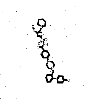 O=Nc1cc(S(=O)(=O)NC(=O)c2ccc(N3CCN(Cc4ccccc4-c4ccc(Cl)cc4)CC3)cc2)sc1N1CCCCC1